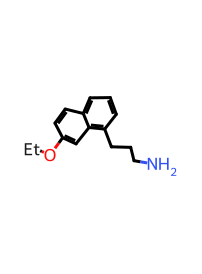 CCOc1ccc2cccc(CCCN)c2c1